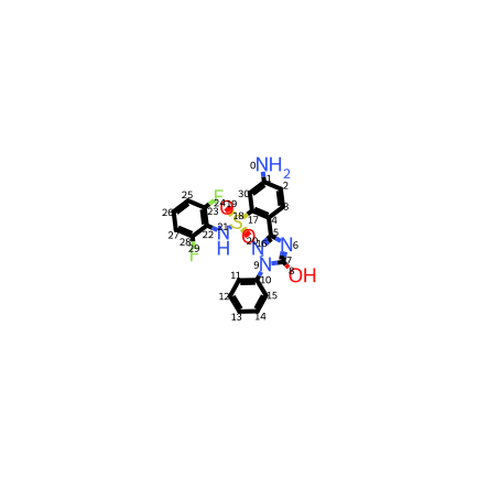 Nc1ccc(-c2nc(O)n(-c3ccccc3)n2)c(S(=O)(=O)Nc2c(F)cccc2F)c1